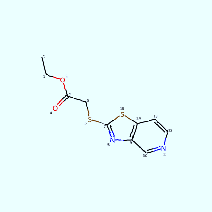 CCOC(=O)CSc1nc2cnccc2s1